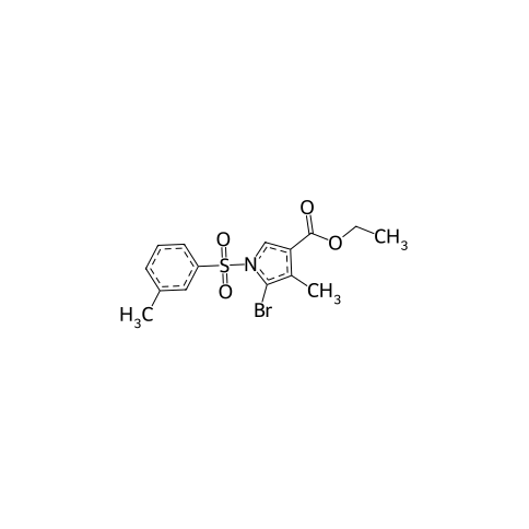 CCOC(=O)c1cn(S(=O)(=O)c2cccc(C)c2)c(Br)c1C